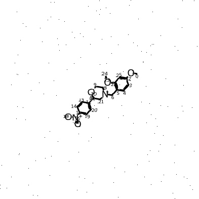 COc1ccc(CN2CCO[C@H](c3ccc([N+](=O)[O-])cc3)C2)c(OC)c1